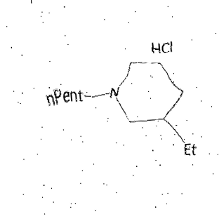 CCCCCN1CCCC(CC)C1.Cl